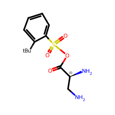 CC(C)(C)c1ccccc1S(=O)(=O)OC(=O)[C@@H](N)CN